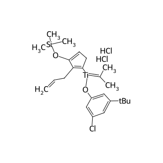 C=CCC1=[C]([Ti]([O]c2cc(Cl)cc(C(C)(C)C)c2)=[C](C)C)CC=C1O[Si](C)(C)C.Cl.Cl